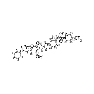 CCC[C@@]1(CCc2ccccc2)CC(O)=C(CC(C)(C)Cc2cccc(NS(=O)(=O)c3ccc(C(F)(F)F)cn3)c2)C(=O)O1